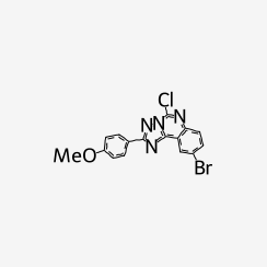 COc1ccc(-c2nc3c4cc(Br)ccc4nc(Cl)n3n2)cc1